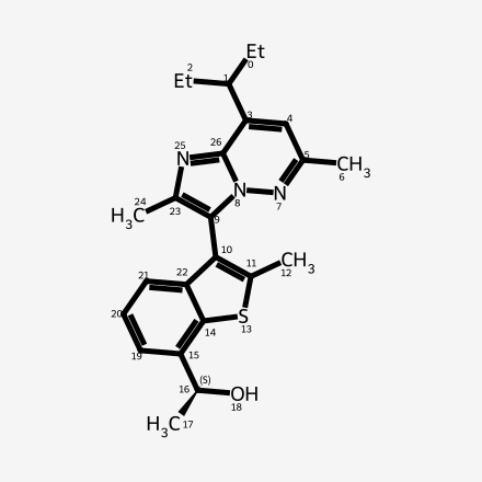 CCC(CC)c1cc(C)nn2c(-c3c(C)sc4c([C@H](C)O)cccc34)c(C)nc12